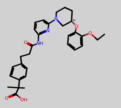 CCOc1ccccc1O[C@@H]1CCCN(c2cccc(NC(=O)CCc3ccc(C(C)(C)C(=O)O)cc3)n2)C1